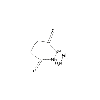 NN.O=C1CCC(=O)NN1